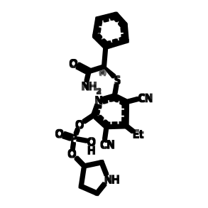 CCc1c(C#N)c(OP(=O)(O)OC2CCNC2)nc(S[C@@H](C(N)=O)c2ccccc2)c1C#N